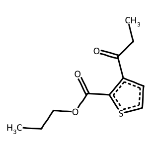 CCCOC(=O)c1sccc1C(=O)CC